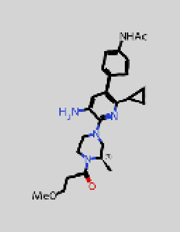 COCCC(=O)N1CCN(c2nc(C3CC3)c(-c3ccc(NC(C)=O)cc3)cc2N)C[C@H]1C